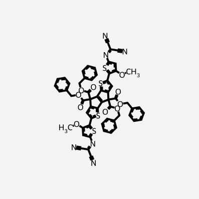 COc1cc(N=C(C#N)C#N)sc1-c1cc2c(s1)C1=C(c3sc(-c4sc(N=C(C#N)C#N)cc4OC)cc3C1(C(=O)OCc1ccccc1)C(=O)OCc1ccccc1)C2(C(=O)OCc1ccccc1)C(=O)OCc1ccccc1